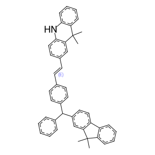 CC1(C)c2ccccc2Nc2ccc(/C=C/c3ccc(C(c4ccccc4)c4ccc5c(c4)C(C)(C)c4ccccc4-5)cc3)cc21